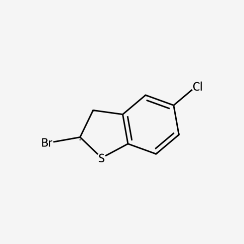 Clc1ccc2c(c1)C[C](Br)S2